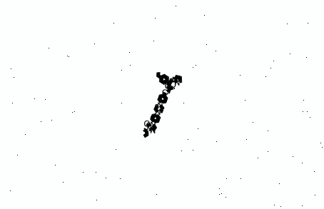 CCc1ccc(C2(Cn3cccn3)OCC(COc3ccc(N4CCN(c5ccc(-n6cnn(C(C)CC)c6=O)cc5)CC4)cc3)O2)cc1